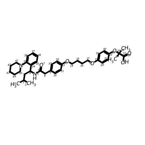 CC(C)CC(NC(=O)Cc1ccc(OCCCCOc2ccc(OC(C)(C)C(=O)O)cc2)cc1)c1ccccc1N1CCCCC1